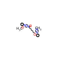 COc1ccccc1N1CCN(C(=O)CCCCCCOc2ccccc2N2CCN(C)CC2)CC1